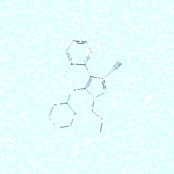 CCCn1nc(C#N)c(-c2ccccc2N)c1CC1CCOCC1